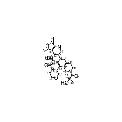 Cc1c[nH]c2ncc(-c3cc4c(c(C5COCCN5C(=O)OC(C)(C)C)c3)CN(C(=O)C(C)(C)O)CC4)cc12